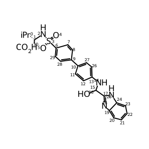 CC(C)[C@H](NS(=O)(=O)c1ccc(-c2ccc(NC(O)c3nc4ccccc4[nH]3)cc2)cc1)C(=O)O